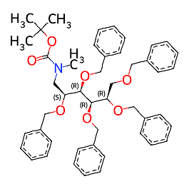 CN(C[C@H](OCc1ccccc1)[C@@H](OCc1ccccc1)[C@H](OCc1ccccc1)[C@@H](COCc1ccccc1)OCc1ccccc1)C(=O)OC(C)(C)C